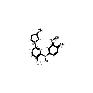 N=C1C=CC(N(N)c2nc(N3CCC(O)C3)ncc2N)=C/C1=N/S